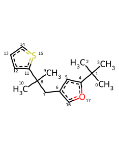 CC(C)(C)c1cc(CC(C)(C)c2cccs2)co1